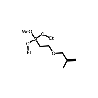 C=C(C)COCC[Si](OC)(OCC)OCC